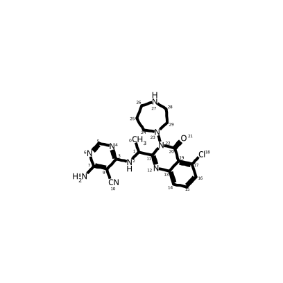 CC(Nc1ncnc(N)c1C#N)c1nc2cccc(Cl)c2c(=O)n1N1CCCNCC1